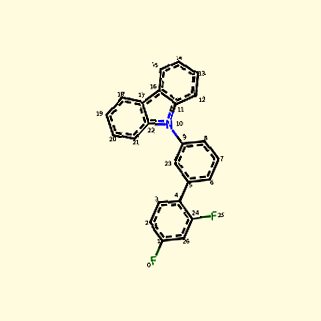 Fc1ccc(-c2cccc(-n3c4ccccc4c4ccccc43)c2)c(F)c1